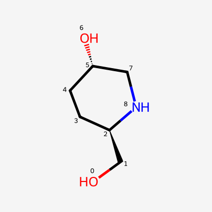 OC[C@H]1CC[C@H](O)CN1